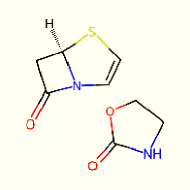 O=C1C[C@H]2SC=CN12.O=C1NCCO1